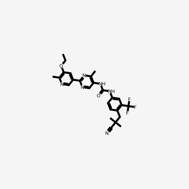 CCOc1cc(-c2ncc(NC(=O)Nc3ccc(CC(C)(C)C#N)c(C(F)(F)F)c3)c(C)n2)cnc1C